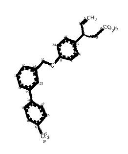 C=C[C@@H](CC(=O)O)c1ccc(OCc2cccc(-c3ccc(C(F)(F)F)cc3)c2)cc1